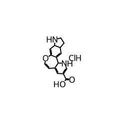 Cl.O=C(O)C1=CNC2C(=C1)C=COC1=CC3NCCC3C=C12